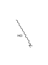 CCCCCCCCCCCCCCCCCC[P](C)(C)C.Cl